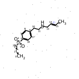 C=C=NS(=O)(=O)c1ccc(CCNC/C=C/C)cc1